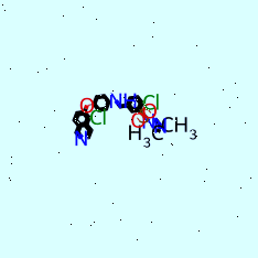 CN(C)C=NS(=O)(=O)c1cc(CN[C@H]2CC[C@@H](Oc3ccc4cnccc4c3Cl)CC2)ccc1Cl